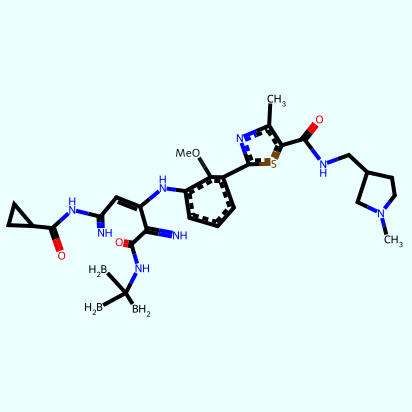 BC(B)(B)NC(=O)C(=N)/C(=C\C(=N)NC(=O)C1CC1)Nc1cccc(-c2nc(C)c(C(=O)NCC3CCN(C)C3)s2)c1OC